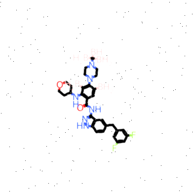 Bc1cc(C(=O)Nc2n[nH]c3ccc(Cc4cc(F)cc(F)c4)cc23)c(NC2CCOCC2)c(B)c1N1CCN(C(B)(B)B)CC1